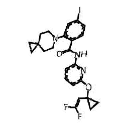 O=C(Nc1cccc(OC2(C=C(F)F)CC2)n1)c1ccc(I)cc1N1CCC2(CC1)CC2